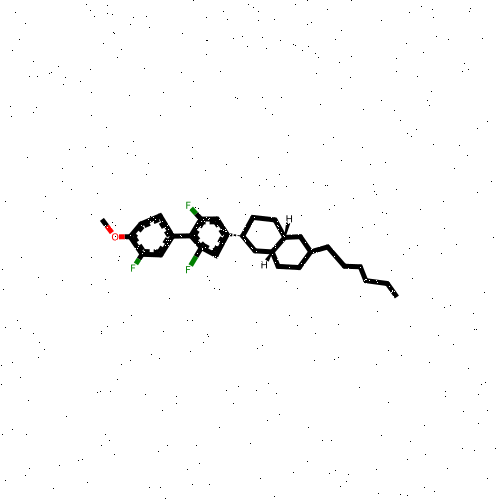 CCCCCCC1CC[C@@H]2C[C@H](c3cc(F)c(-c4ccc(OC)c(F)c4)c(F)c3)CC[C@@H]2C1